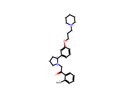 COc1ccccc1C(=O)CN1CCCC1c1cccc(OCCCN2CCCCC2)c1